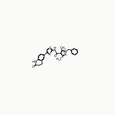 Cc1nn(Cc2ccccc2)c(C)c1C(=O)Nc1nc(-c2ccc3c(c2)CCC(=O)N3)cs1